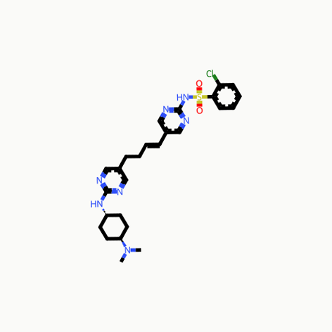 CN(C)[C@H]1CC[C@H](Nc2ncc(CC/C=C/c3cnc(NS(=O)(=O)c4ccccc4Cl)nc3)cn2)CC1